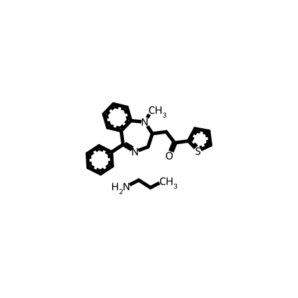 CCCN.CN1c2ccccc2C(c2ccccc2)=NCC1CC(=O)c1cccs1